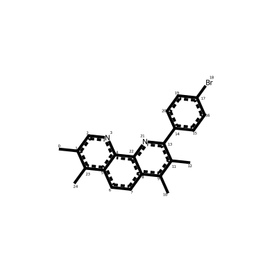 Cc1cnc2c(ccc3c(C)c(C)c(-c4ccc(Br)cc4)nc32)c1C